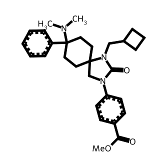 COC(=O)c1ccc(N2CC3(CCC(c4ccccc4)(N(C)C)CC3)N(CC3CCC3)C2=O)cc1